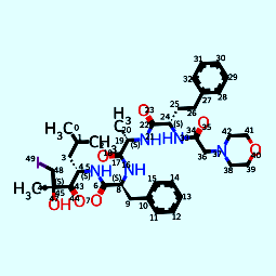 CC(C)C[C@H](NC(=O)[C@H](Cc1ccccc1)NC(=O)[C@H](C)NC(=O)[C@H](CCc1ccccc1)NC(=O)CN1CCOCC1)C(=O)[C@](C)(O)CI